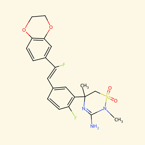 CN1C(N)=NC(C)(c2cc(C=C(F)c3ccc4c(c3)OCCO4)ccc2F)CS1(=O)=O